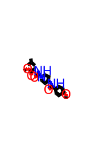 COC(=O)[C@H](CC(C)C)NC(=O)N1CCC(NC(=O)c2ccc(OC)cc2)CC1